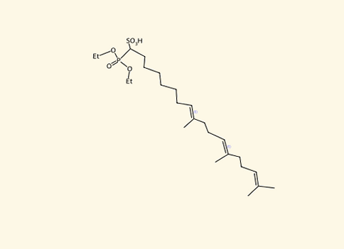 CCOP(=O)(OCC)C(CCCCCC/C=C(\C)CC/C=C(\C)CCC=C(C)C)S(=O)(=O)O